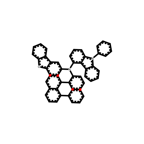 c1ccc(-c2cccc3cccc(-c4ccccc4N(c4ccc5oc6ccccc6c5c4)c4cccc5c4c4ccccc4n5-c4ccccc4)c23)cc1